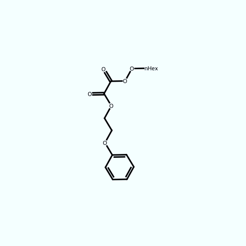 CCCCCCOOC(=O)C(=O)OCCOc1ccccc1